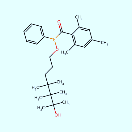 Cc1cc(C)c(C(=O)P(OCCCC(C)(C)C(C)(C)C(C)(C)O)c2ccccc2)c(C)c1